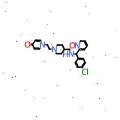 O=C(NC(c1ccc(Cl)cc1)c1ccccn1)C1CCN(CCn2ccc(=O)cc2)CC1